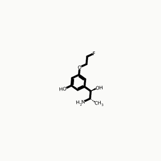 C[C@H](N)[C@H](O)c1cc(O)cc(OCCF)c1